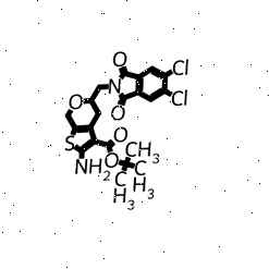 CC(C)(C)OC(=O)c1c(N)sc2c1CC(CN1C(=O)c3cc(Cl)c(Cl)cc3C1=O)OC2